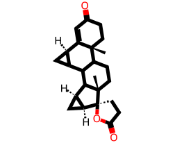 C[C@]12CCC(=O)C=C1[C@@H]1CC1C1C2CC[C@@]2(C)C1[C@@H]1C[C@@H]1[C@@]21CCC(=O)O1